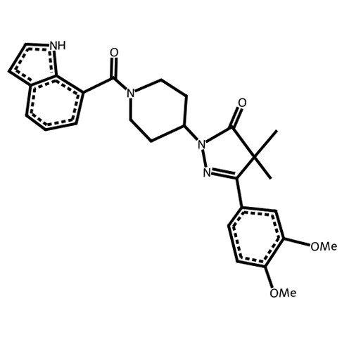 COc1ccc(C2=NN(C3CCN(C(=O)c4cccc5cc[nH]c45)CC3)C(=O)C2(C)C)cc1OC